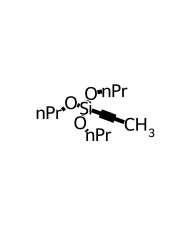 CC#C[Si](OCCC)(OCCC)OCCC